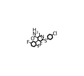 Cc1nc(Sc2ccc(Cl)cc2)c(F)c(-c2cc(F)ccc2F)c1C(N)=O